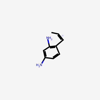 C/C=C\c1ccc(N)cc1N